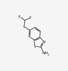 Nc1nc2ccc(SC(F)F)cc2s1